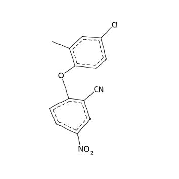 Cc1cc(Cl)ccc1Oc1ccc([N+](=O)[O-])cc1C#N